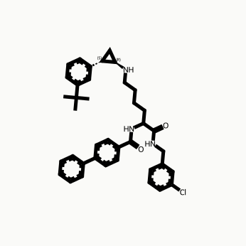 CC(C)(C)c1cccc([C@@H]2C[C@H]2NCCCCC(NC(=O)c2ccc(-c3ccccc3)cc2)C(=O)NCc2cccc(Cl)c2)c1